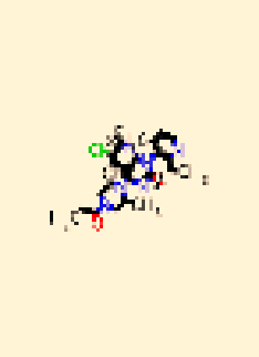 C=CC(=O)N1C[C@@H](C)N(c2nc(=O)n(-c3c(C)ccnc3C(C)C)c3nc(C)c(Cl)cc23)[C@H](C)C1